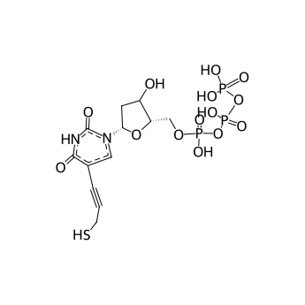 O=c1[nH]c(=O)n([C@@H]2CC(O)[C@H](COP(=O)(O)OP(=O)(O)OP(=O)(O)O)O2)cc1C#CCS